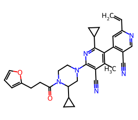 C=Cc1cc(-c2c(C3CC3)nc(N3CCN(C(=O)CCc4ccco4)C(C4CC4)C3)c(C#N)c2C)c(C#N)cn1